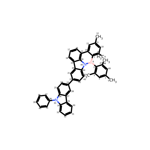 Cc1cc(C)c(B2c3c(C)cc(C)cc3-c3cccc4c5cc(-c6ccc7c(c6)c6ccccc6n7-c6ccccc6)ccc5n2c34)c(C)c1